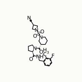 Cc1c(F)cccc1CNC(=O)[C@H]1CCCN1C(=O)[C@H]1CCCN(S(=O)(=O)N2CC(C#N)C2)C1